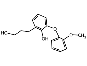 COc1ccccc1Oc1cccc(CCCO)c1O